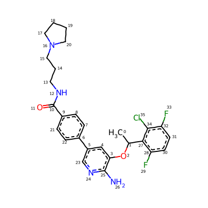 CC(Oc1cc(-c2ccc(C(=O)NCCCN3CCCC3)cc2)cnc1N)c1c(F)ccc(F)c1Cl